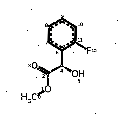 COC(=O)[C@H](O)c1ccccc1F